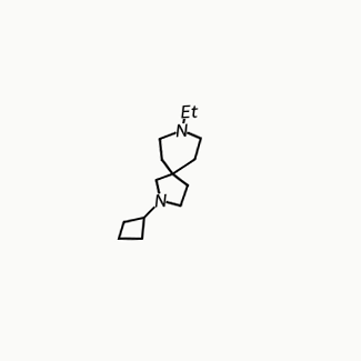 CCN1CCC2(CC1)CCN(C1CCC1)C2